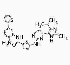 Cc1nc(C(C)C)c(-c2ccnc(Nc3ccc(C(=O)Nc4cc(-c5cccs5)ccc4N)s3)n2)[nH]1